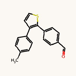 Cc1ccc(-c2ccsc2-c2ccc(C=O)cc2)cc1